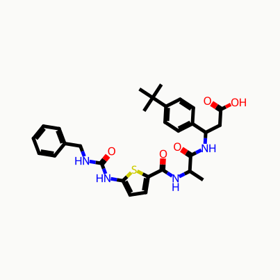 CC(NC(=O)c1ccc(NC(=O)NCc2ccccc2)s1)C(=O)NC(CC(=O)O)c1ccc(C(C)(C)C)cc1